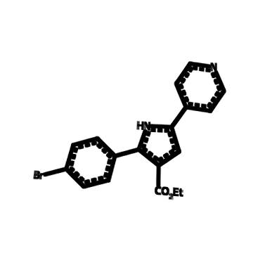 CCOC(=O)c1cc(-c2ccncc2)[nH]c1-c1ccc(Br)cc1